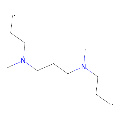 [CH2]CCN(C)CCCN(C)CC[CH2]